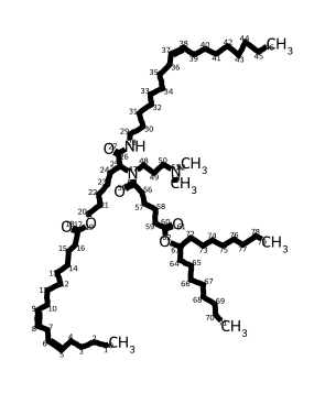 CCCCC/C=C\C/C=C\CCCCCCCC(=O)OCCCCCC(C(=O)NCCCCCCCC/C=C\CCCCCCCC)N(CCCN(C)C)C(=O)CCCCC(=O)OC(CCCCCCCC)CCCCCCCC